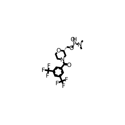 CN(C)[PH](=O)OC[C@@H]1CN(C(=O)c2cc(C(F)(F)F)cc(C(F)(F)F)c2)CCO1